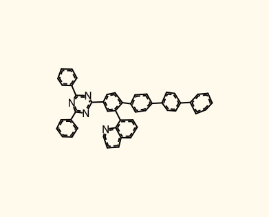 c1ccc(-c2ccc(-c3ccc(-c4ccc(-c5nc(-c6ccccc6)nc(-c6ccccc6)n5)cc4-c4cccc5cccnc45)cc3)cc2)cc1